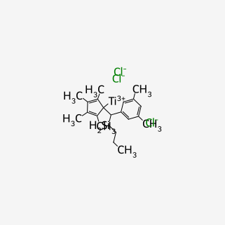 CCC[SiH2]C(c1cc(C)cc(C)c1)[C]1([Ti+3])C(C)=C(C)C(C)=C1C.[Cl-].[Cl-].[Cl-]